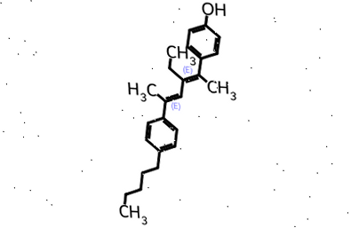 CCCCCc1ccc(/C(C)=C/C(CC)=C(\C)c2ccc(O)cc2)cc1